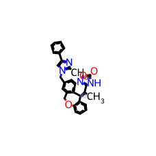 C/C(=C1/c2ccc(Cn3cc(-c4ccccc4)nc3C)cc2COc2ccccc21)c1noc(=O)[nH]1